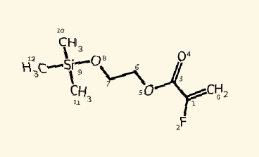 C=C(F)C(=O)OCCO[Si](C)(C)C